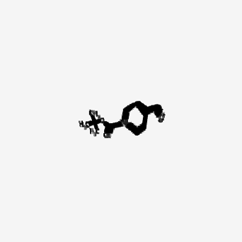 CC(C)(C)OC(=O)N1CC=C(C=O)CC1